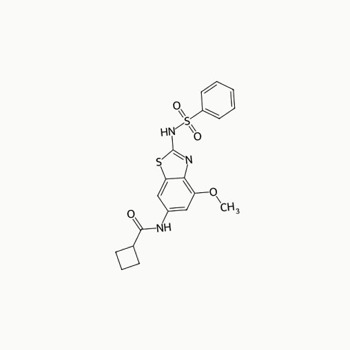 COc1cc(NC(=O)C2CCC2)cc2sc(NS(=O)(=O)c3ccccc3)nc12